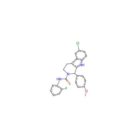 COc1ccc(C2c3[nH]c4ccc(Cl)cc4c3CCN2C(=S)Nc2ccccc2F)cc1